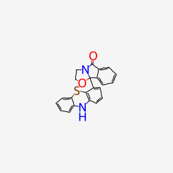 O=C1c2ccccc2C2(c3cccc4c3Sc3ccccc3N4)OCCN12